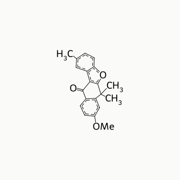 COc1ccc2c(c1)C(C)(C)c1oc3ccc(C)cc3c1C2=O